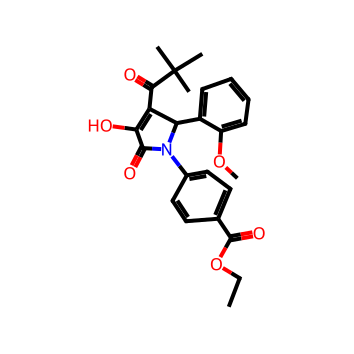 CCOC(=O)c1ccc(N2C(=O)C(O)=C(C(=O)C(C)(C)C)C2c2ccccc2OC)cc1